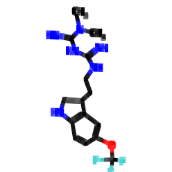 CN(C)C(=N)NC(=N)NCCc1c[nH]c2ccc(OC(F)(F)F)cc12